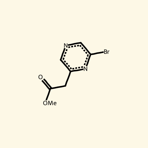 COC(=O)Cc1cncc(Br)n1